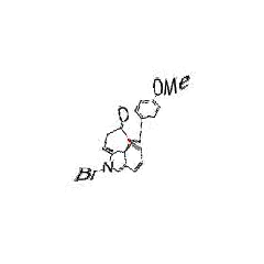 COc1ccc(CC2C(=O)CC=C3N(Br)C=C4C=CC=CC432)cc1